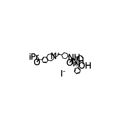 CC(C)C(=O)c1ccc2c(c1)CC[N+](C)(CCC1CCC(NC(=O)N[C@H](C)C(O)(c3ccccc3)c3ccccc3)CC1)CC2.[I-]